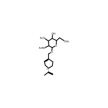 C=C(C)[C@@H]1CC=C(COC2OC(COC(C)=O)C(O)C(OC(C)=O)C2NC(C)=O)CC1